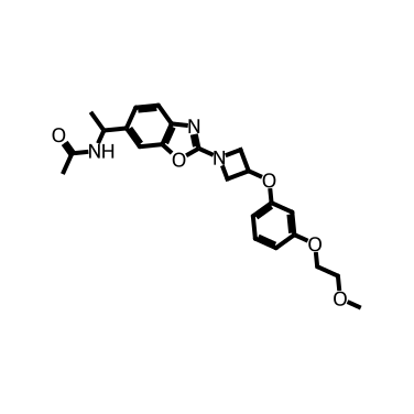 COCCOc1cccc(OC2CN(c3nc4ccc(C(C)NC(C)=O)cc4o3)C2)c1